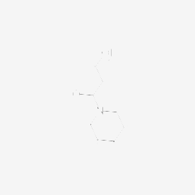 [O]C(CCO)N1CCCCC1